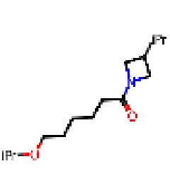 CC(C)OCCCCCC(=O)N1CC(C(C)C)C1